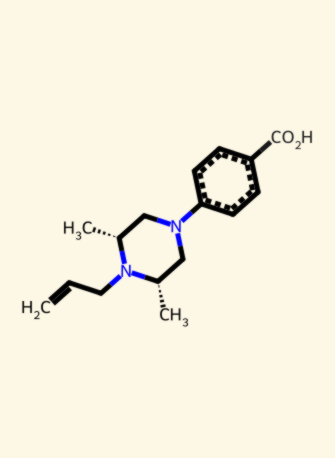 C=CCN1[C@H](C)CN(c2ccc(C(=O)O)cc2)C[C@@H]1C